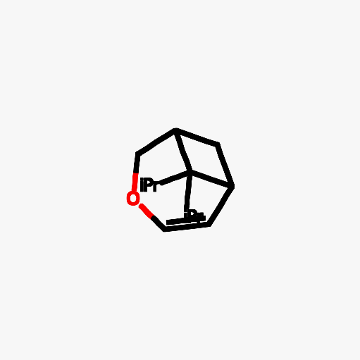 CC(C)C1(C(C)C)C2C=COCC1C2